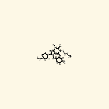 COc1ccc(-c2nc3c(c(=O)n(CCCO)c(=O)n3C)n2Cc2ccc(Cl)cn2)cc1